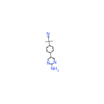 CC(C)(C#N)c1ccc(-c2cnc(N)nc2)cc1